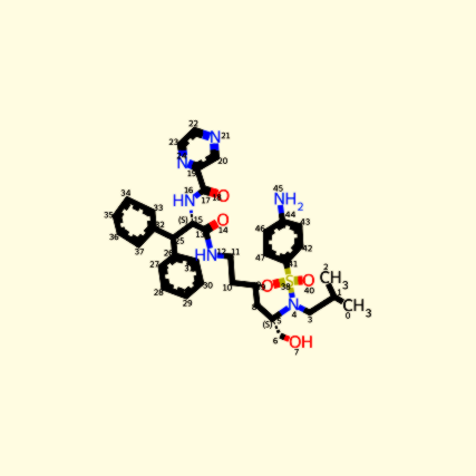 CC(C)CN([C@H](CO)CCCCNC(=O)[C@@H](NC(=O)c1cnccn1)C(c1ccccc1)c1ccccc1)S(=O)(=O)c1ccc(N)cc1